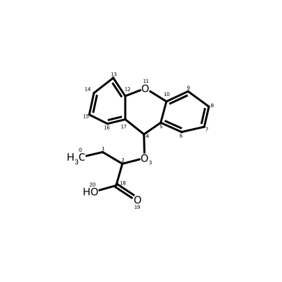 CCC(OC1c2ccccc2Oc2ccccc21)C(=O)O